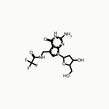 Nc1nc2c(c(CNC(=O)C(F)(F)F)cn2C2CC(O)C(CO)O2)c(=O)[nH]1